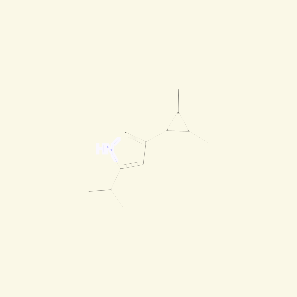 CC(C)c1cc(C2C(C)C2C)c[nH]1